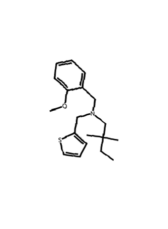 CCC(C)(C)CN(Cc1cccs1)Cc1ccccc1OC